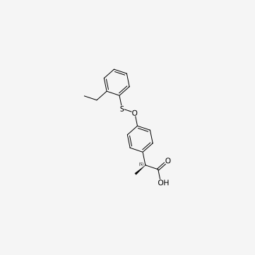 CCc1ccccc1SOc1ccc([C@H](C)C(=O)O)cc1